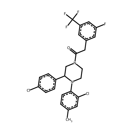 Cc1ccc(N2CCN(C(=O)Cc3cc(F)cc(C(F)(F)F)c3)CC2c2ccc(Cl)cc2)c(Cl)c1